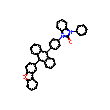 O=c1n(-c2ccccc2)c2ccccc2n1-c1ccc(-c2c3ccccc3c(-c3ccc4oc5ccccc5c4c3)c3ccccc23)cc1